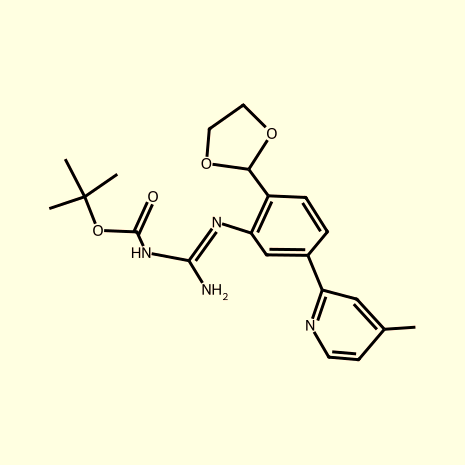 Cc1ccnc(-c2ccc(C3OCCO3)c(/N=C(\N)NC(=O)OC(C)(C)C)c2)c1